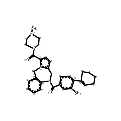 Cc1cc(C(=O)N2Cc3ccc(C(=O)N4CCN(C)CC4)n3Cc3ccccc32)ccc1C1=CCCCC1